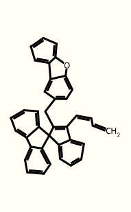 C=C/C=C\C1=C(Cc2ccc3oc4ccccc4c3c2)C2(c3ccccc31)c1ccccc1-c1ccccc12